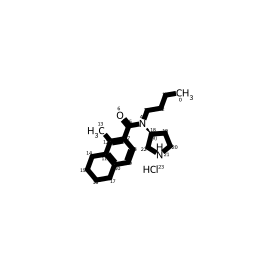 CCCCN(C(=O)c1ccc2c(c1C)CCCC2)[C@@H]1CCNC1.Cl